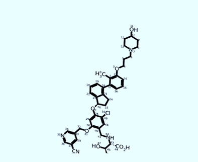 Cc1c(OCCCN2CCC(O)CC2)cccc1-c1cccc2c1CC[C@H]2Oc1cc(OCc2cncc(C#N)c2)c(CN[C@H](C(=O)O)[C@@H](C)O)cc1Cl